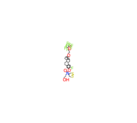 C[C@]12CCC3c4cc(F)c(OC(=O)N(CCCO)C5CCSSC5)cc4CCC3C1CC[C@@H]2OCCCOC(C(F)(F)F)(C(F)(F)F)C(F)(F)F